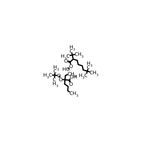 CC(C)(C)CCCCC(C(=O)OO)C(C)(C)C.CCCCC(CC)(OOC(C)(C)C)C(=O)O